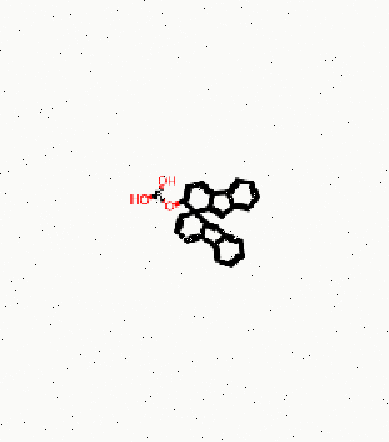 OB(O)OC1=CC=C2C(=Cc3ccccc32)C12C=CC=C1C2=Cc2ccccc21